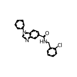 O=C(NCc1ccccc1Cl)c1ccc2c(c1)ncn2-c1ccccc1